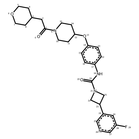 O=C(CC1CCOCC1)N1CCC(Oc2ccc(NC(=O)N3CC(c4cncc(F)c4)C3)cc2)CC1